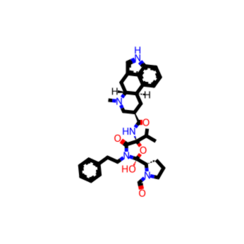 CC(C)[C@@]1(NC(=O)[C@@H]2C[C@@H]3c4cccc5[nH]cc(c45)C[C@H]3N(C)C2)O[C@@](O)([C@@H]2CCCN2C=O)N(CCc2ccccc2)C1=O